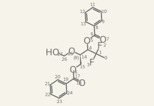 CC(F)(F)C(OC(=O)c1ccccc1)[C@@H](COC(=O)c1ccccc1)OCO